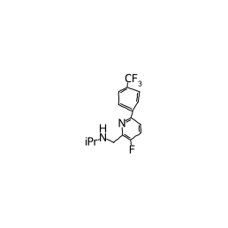 CC(C)NCc1nc(-c2ccc(C(F)(F)F)cc2)ccc1F